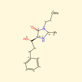 COCCN1C(=O)[C@H](C(O)[CH]Cc2ccccc2)NC1C(C)C